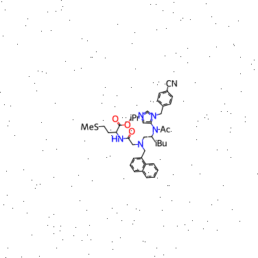 CCC(C)C(CN(CC(=O)NC(CCSC)C(=O)OC(C)C)Cc1cccc2ccccc12)N(C(C)=O)c1cncn1Cc1ccc(C#N)cc1